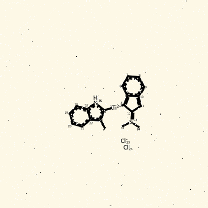 Cc1[c]([Ti+2][C]2=c3ccccc3=CC2=[Si](C)C)[nH]c2ccccc12.[Cl-].[Cl-]